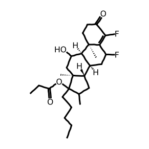 CCCCCC1(OC(=O)CC)C(C)C[C@H]2[C@@H]3CC(F)C4=C(F)C(=O)CC[C@]4(C)[C@@H]3C(O)C[C@@]21C